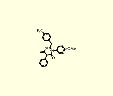 C=C(N)C(C(=O)N(CCc1ccc(C(F)(F)F)cc1)c1ccc(OC)nc1)c1ccccc1